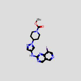 CC(C)(C)OC(=O)N1CCC(n2cc(Nc3ncc4cncc(I)c4n3)cn2)CC1